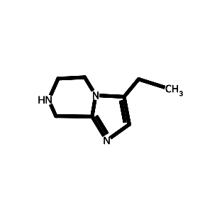 CCc1cnc2n1CCNC2